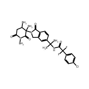 BC1CC(=O)N(B)C(=O)C1(B)N1Cc2cc(C(B)(B)NC(=O)C(F)(F)c3ccc(Cl)cc3)ccc2C1=O